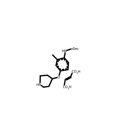 CCCCCCCCCCNc1ccc(OC2CCNCC2)cc1C.O=C(O)C=CC(=O)O